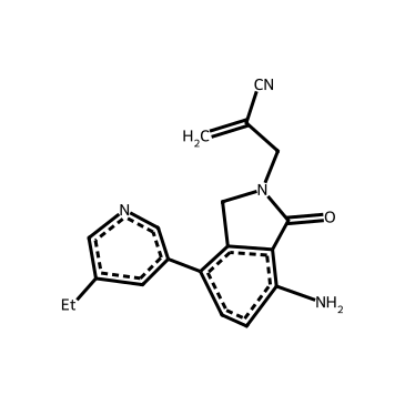 C=C(C#N)CN1Cc2c(-c3cncc(CC)c3)ccc(N)c2C1=O